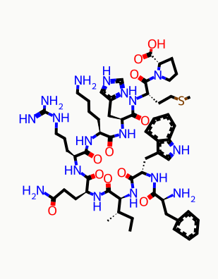 CC[C@H](C)[C@H](NC(=O)[C@H](Cc1c[nH]c2ccccc12)NC(=O)[C@@H](N)Cc1ccccc1)C(=O)N[C@@H](CCC(N)=O)C(=O)N[C@@H](CCCNC(=N)N)C(=O)N[C@@H](CCCCN)C(=O)N[C@@H](Cc1c[nH]cn1)C(=O)N[C@@H](CCSC)C(=O)N1CCC[C@H]1C(=O)O